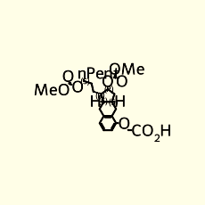 CCCCC[C@@H](CC[C@@H]1[C@H]2Cc3cccc(OCC(=O)O)c3C[C@H]2C[C@H]1OC(=O)OC)OC(=O)OC